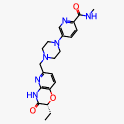 CC[C@H]1Oc2ccc(CN3CCN(c4ccc(C(=O)NC)nc4)CC3)nc2NC1=O